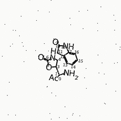 CC(=O)C(N)C1CNC(=O)O1.O=C1Cc2ccccc2N1